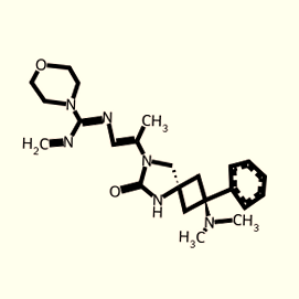 C=N/C(=N\C=C(/C)N1C[C@]2(C[C@](c3ccccc3)(N(C)C)C2)NC1=O)N1CCOCC1